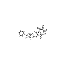 O=C1C(=Cc2cc3sc(-c4ccccc4)nc3s2)C(=O)c2c(F)c(F)c(F)c(F)c21